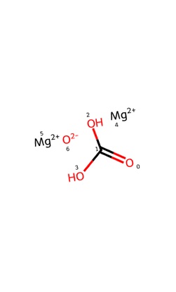 O=C(O)O.[Mg+2].[Mg+2].[O-2]